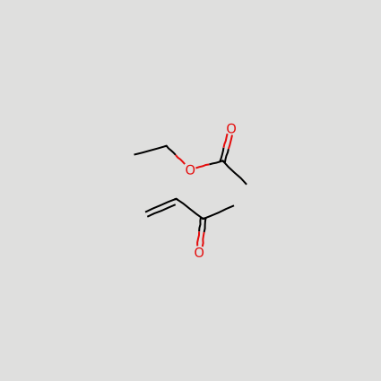 C=CC(C)=O.CCOC(C)=O